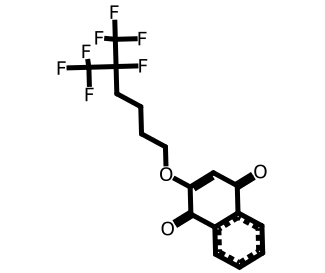 O=C1C=C(OCCCCC(F)(C(F)(F)F)C(F)(F)F)C(=O)c2ccccc21